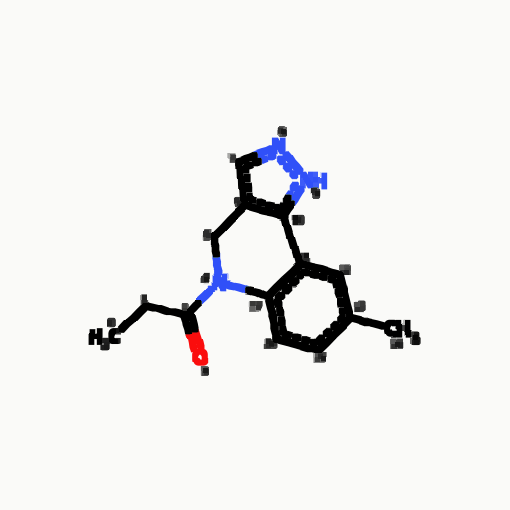 CCC(=O)N1Cc2cn[nH]c2-c2cc(C)ccc21